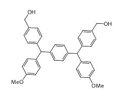 COc1ccc(C(c2ccc(CO)cc2)c2ccc(C(c3ccc(CO)cc3)c3ccc(OC)cc3)cc2)cc1